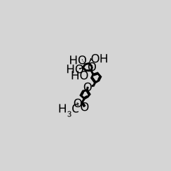 COC(=O)c1ccc(OCc2cccc(C3O[C@H](CO)[C@@H](O)[C@H](O)[C@@H]3O)c2)cc1